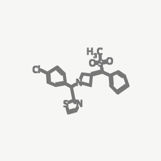 CS(=O)(=O)C(=C1CN(C(c2ccc(Cl)cc2)c2nccs2)C1)c1ccccc1